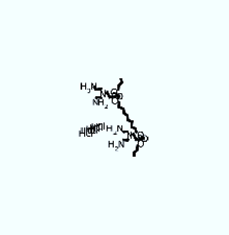 CCCCOP(=O)(CCN(CCN)CCN)OCCCCCCCCCCOP(=O)(CCN(CCN)CCN)OCCCC.Cl.Cl.Cl.Cl.Cl.Cl